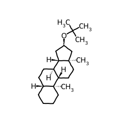 CC(C)(C)O[C@@H]1C[C@H]2[C@@H]3CC[C@H]4CCCC[C@]4(C)[C@H]3CC[C@]2(C)C1